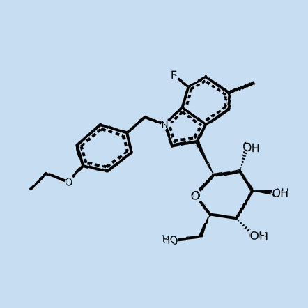 CCOc1ccc(Cn2cc([C@@H]3O[C@H](CO)[C@@H](O)[C@H](O)[C@H]3O)c3cc(C)cc(F)c32)cc1